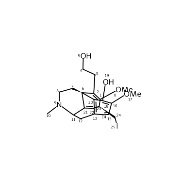 COC1=C(CCO)[C@]23CCN(C)C(Cc4ccc(OC)c(O)c42)C3=C[C@@H]1CI